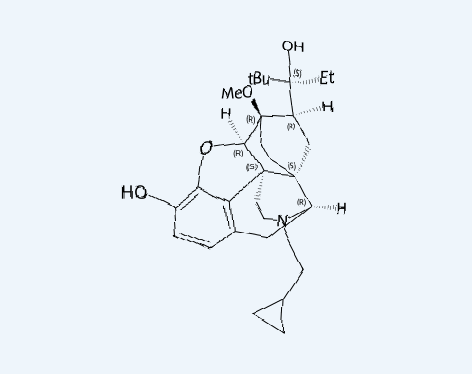 CC[C@](O)([C@H]1C[C@@]23CC[C@]1(OC)[C@@H]1Oc4c(O)ccc5c4[C@@]12CCN(CC1CC1)[C@@H]3C5)C(C)(C)C